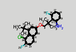 CC(C)(C)c1cc(OCC(C)(C)c2c(N)cccc2F)cc2ccc(F)c(Cl)c12